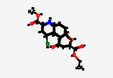 CCOC(=O)c1cc(=O)c2c(ccc3nc(C(=O)OC)cc(Cl)c32)s1